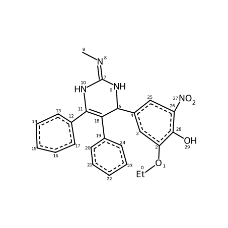 CCOc1cc(C2N/C(=N/C)NC(c3ccccc3)=C2c2ccccc2)cc([N+](=O)[O-])c1O